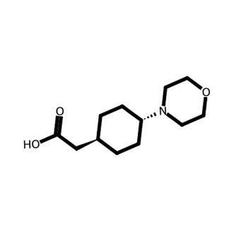 O=C(O)C[C@H]1CC[C@H](N2CCOCC2)CC1